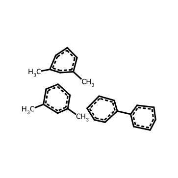 Cc1cccc(C)c1.Cc1cccc(C)c1.c1ccc(-c2ccccc2)cc1